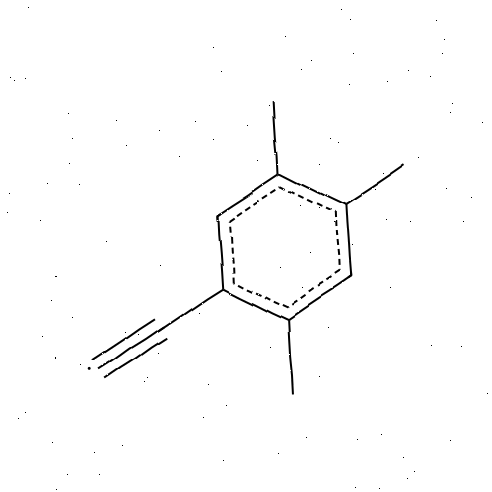 [C]#Cc1cc(C)c(C)cc1C